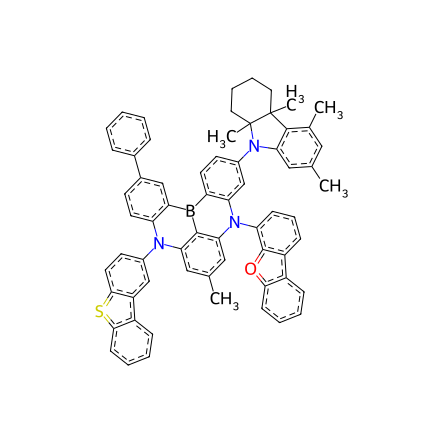 Cc1cc2c3c(c1)N(c1cccc4c1oc1ccccc14)c1cc(N4c5cc(C)cc(C)c5C5(C)CCCCC45C)ccc1B3c1cc(-c3ccccc3)ccc1N2c1ccc2sc3ccccc3c2c1